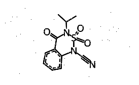 CC(C)N1C(=O)c2ccccc2N(C#N)S1(=O)=O